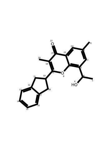 Cc1cc(C(C)O)c2oc(C3Cc4ccccc4C3)c(C)c(=O)c2c1